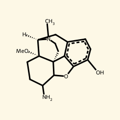 CO[C@@]12CCC(N)C3Oc4c(O)ccc5c4[C@@]31CCN(C)[C@@H]2C5